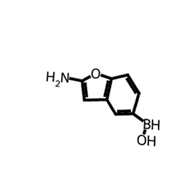 Nc1cc2cc(BO)ccc2o1